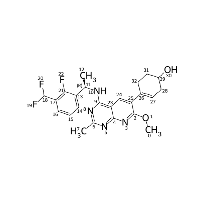 COc1nc2nc(C)nc(N[C@H](C)c3cccc(C(F)F)c3F)c2cc1C1=CCC(O)CC1